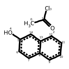 CC(=O)Cl.Oc1ccc2ccccc2c1